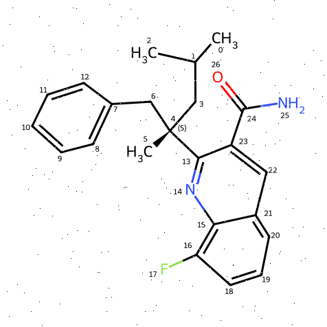 CC(C)C[C@@](C)(Cc1ccccc1)c1nc2c(F)cccc2cc1C(N)=O